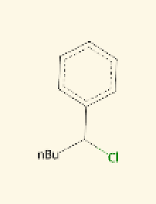 CCCCC(Cl)c1ccccc1